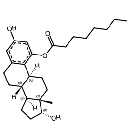 CCCCCCCC(=O)Oc1cc(O)cc2c1[C@H]1CC[C@]3(C)[C@H](O)CC[C@H]3[C@@H]1CC2